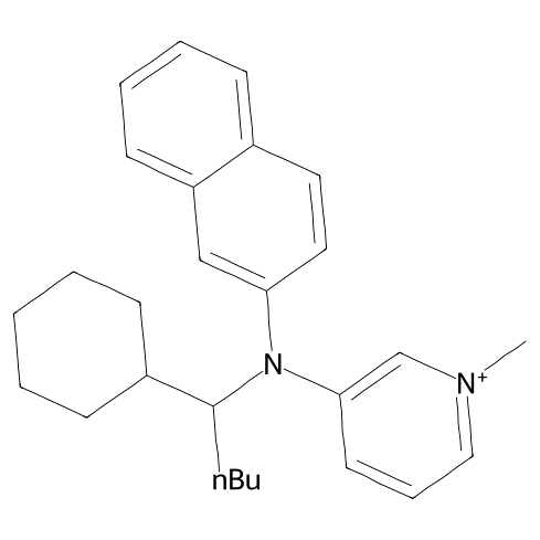 CCCCC(C1CCCCC1)N(c1ccc2ccccc2c1)c1ccc[n+](C)c1